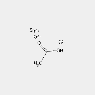 CC(=O)O.[O-2].[O-2].[Sn+4]